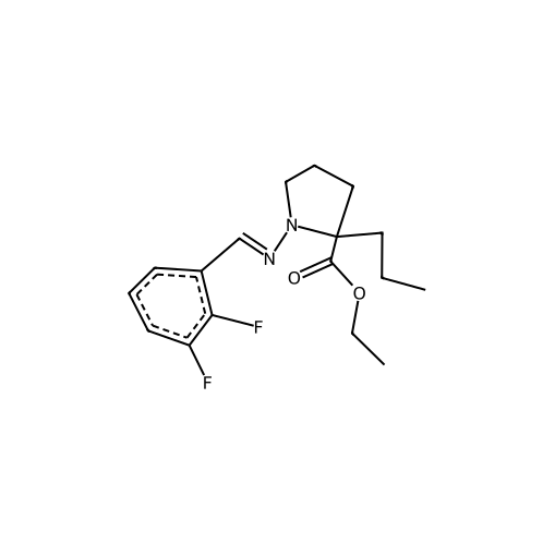 CCCC1(C(=O)OCC)CCCN1N=Cc1cccc(F)c1F